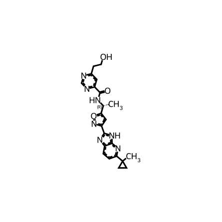 C[C@@H](NC(=O)c1cc(CCO)ncn1)c1cc(-c2nc3ccc(C4(C)CC4)nc3[nH]2)no1